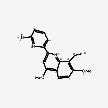 COc1ccc2c(OC)cc(-c3cccc(N)n3)nc2c1CI